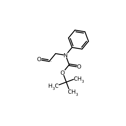 CC(C)(C)OC(=O)N(C[C]=O)c1ccccc1